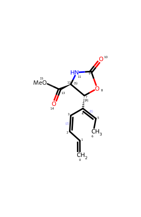 C=C/C=C\C(=C/C)[C@H]1OC(=O)N[C@@H]1C(=O)OC